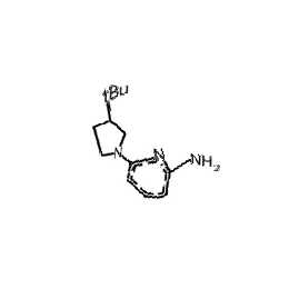 CC(C)(C)C1CCN(c2cccc(N)n2)C1